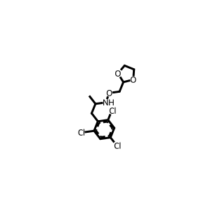 CC(Cc1c(Cl)cc(Cl)cc1Cl)NOCC1OCCO1